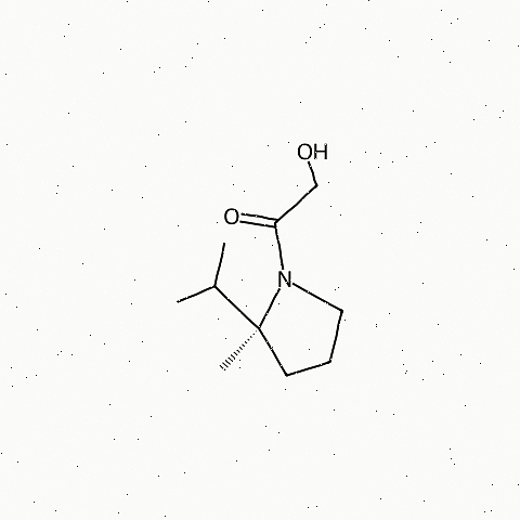 CC(C)[C@]1(C)CCCN1C(=O)CO